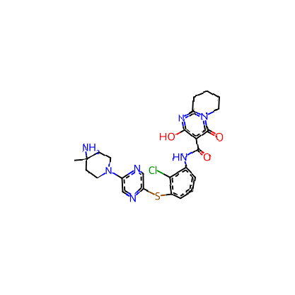 CC1(N)CCN(c2cnc(Sc3cccc(NC(=O)c4c(O)nc5n(c4=O)CCCC5)c3Cl)cn2)CC1